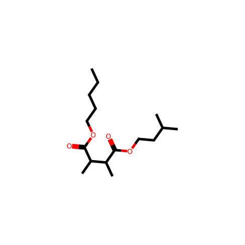 CCCCCOC(=O)C(C)[C](C)C(=O)OCCC(C)C